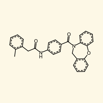 Cc1ccccc1CC(=O)Nc1ccc(C(=O)N2Cc3ccccc3Oc3ccccc32)cc1